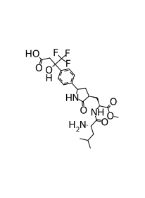 COC(=O)[C@H](C[C@@H]1CC(c2ccc(C(O)(CC(=O)O)C(F)(F)F)cc2)NC1=O)NC(=O)[C@@H](N)CC(C)C